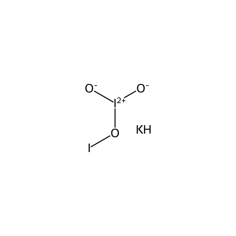 [KH].[O-][I+2]([O-])OI